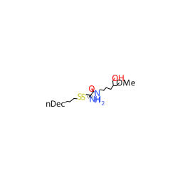 CCCCCCCCCCCCCCSSC[C@H](N)C(=O)NCCCCC(CO)COC